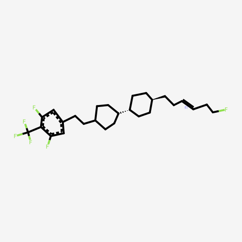 FCC/C=C/CC[C@H]1CC[C@H](C2CCC(CCc3cc(F)c(C(F)(F)F)c(F)c3)CC2)CC1